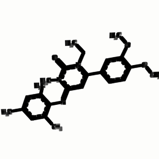 CCn1c(-c2ccc(OC)c(OC)c2)c/c(=N/c2c(C)cc(C)cc2C)n(C)c1=O